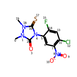 Cn1c(=O)n(-c2cc([N+](=O)[O-])c(Cl)cc2F)c(=S)n1C